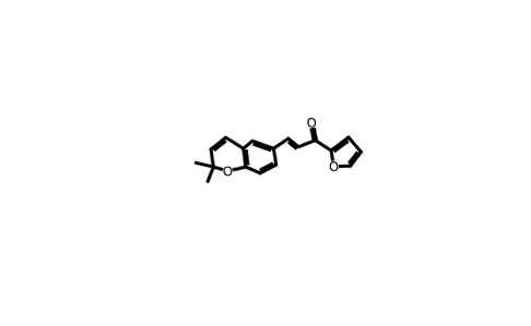 CC1(C)C=Cc2cc(C=CC(=O)c3ccco3)ccc2O1